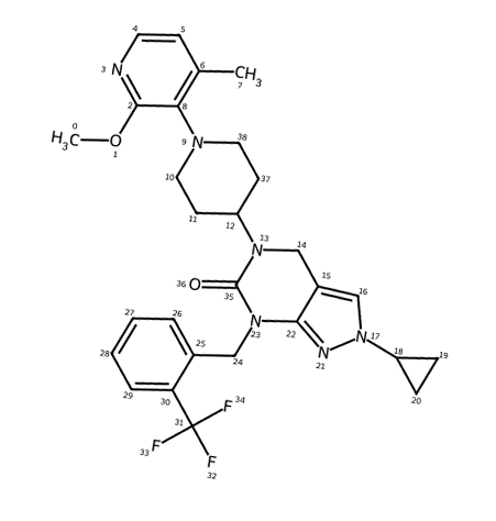 COc1nccc(C)c1N1CCC(N2Cc3cn(C4CC4)nc3N(Cc3ccccc3C(F)(F)F)C2=O)CC1